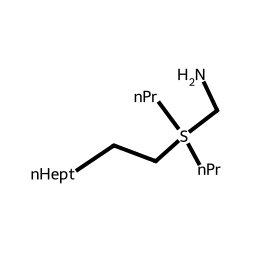 CCCCCCCCCS(CN)(CCC)CCC